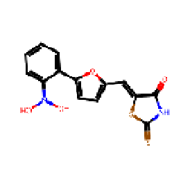 O=C1NC(=S)S/C1=C\c1ccc(-c2ccccc2N(O)O)o1